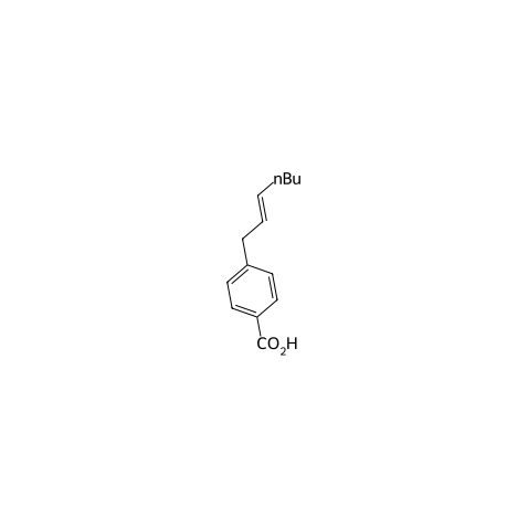 CCCCC=CCc1ccc(C(=O)O)cc1